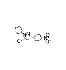 O=[N+]([O-])c1ccc(-c2cc(Cl)n(-c3ccccc3)n2)cc1